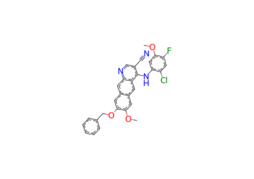 COc1cc(Nc2c(C#N)cnc3cc4cc(OCc5ccccc5)c(OC)cc4cc23)c(Cl)cc1F